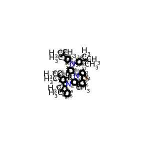 Cc1cc2c3c(c1)-n1c4c(c5cc(C(C)(C)C)cc(c51)B3c1ccc(N(c3ccc(C(C)(C)C)cc3)c3ccc(C(C)(C)C)cc3)cc1N2c1cccc2sc3ccccc3c12)C(C)(C)c1ccccc1-4